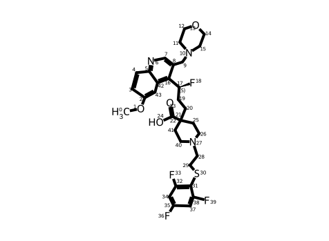 COc1ccc2ncc(CN3CCOCC3)c([C@@H](F)CCC3(C(=O)O)CCN(CCSc4c(F)cc(F)cc4F)CC3)c2c1